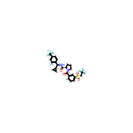 O=C(NC(c1ccc(C(F)(F)F)cc1F)C1CC1)[C@H]1CCCN1C(=O)c1cccc(S(=O)(=O)CC(F)(F)F)c1